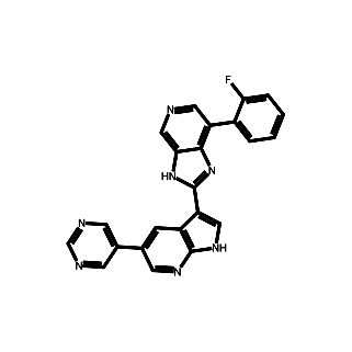 Fc1ccccc1-c1cncc2[nH]c(-c3c[nH]c4ncc(-c5cncnc5)cc34)nc12